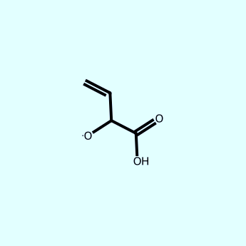 C=CC([O])C(=O)O